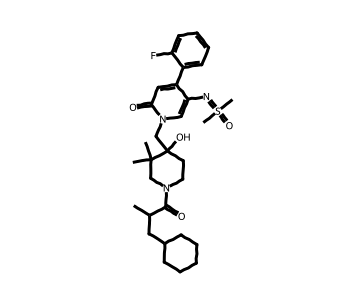 CC(CC1CCCCC1)C(=O)N1CCC(O)(Cn2cc(N=S(C)(C)=O)c(-c3ccccc3F)cc2=O)C(C)(C)C1